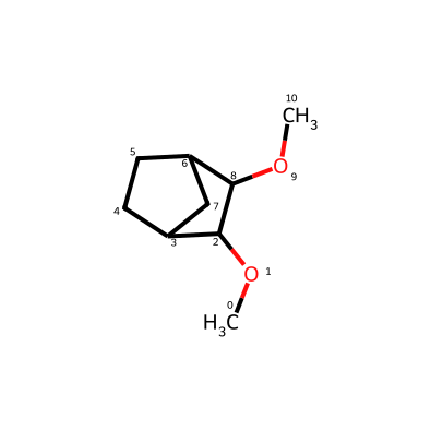 COC1C2CCC(C2)C1OC